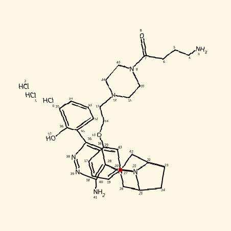 Cl.Cl.Cl.NCCCC(=O)N1CCN(CCOc2cccc(N3C4CCC3CN(c3cc(-c5ccccc5O)nnc3N)C4)c2)CC1